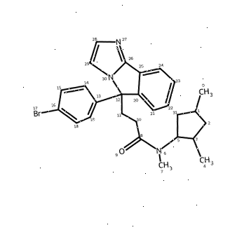 CC1CC(C)C(N(C)C(=O)CCC2(c3ccc(Br)cc3)c3ccccc3-c3nccn32)C1